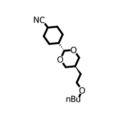 CCCCOCC[C@H]1CO[C@H](C2CCC(C#N)CC2)OC1